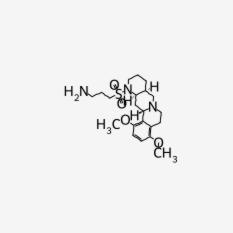 COc1ccc(OC)c2c1CCN1C[C@@H]3CCCN(S(=O)(=O)CCCN)[C@@H]3C[C@@H]21